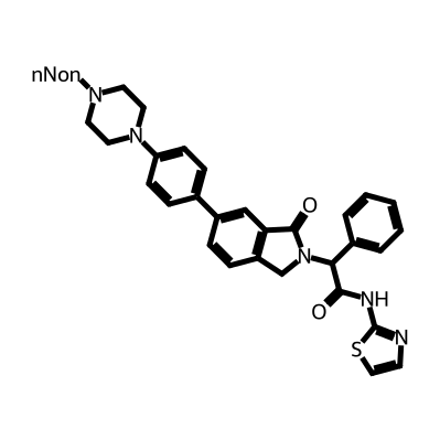 CCCCCCCCCN1CCN(c2ccc(-c3ccc4c(c3)C(=O)N(C(C(=O)Nc3nccs3)c3ccccc3)C4)cc2)CC1